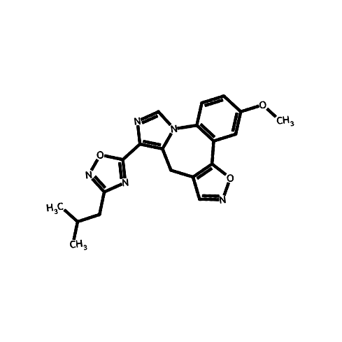 COc1ccc2c(c1)-c1oncc1Cc1c(-c3nc(CC(C)C)no3)ncn1-2